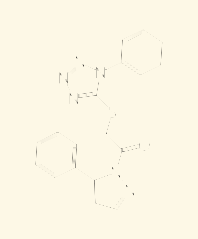 O=C(CSc1nnnn1C1=CCCC=C1)N1N=CCC1c1ccccc1